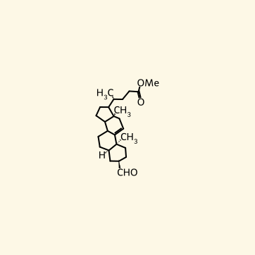 COC(=O)CC[C@@H](C)C1CCC2C3CC[C@@H]4C[C@H](C=O)CC[C@]4(C)C3=CC[C@@]21C